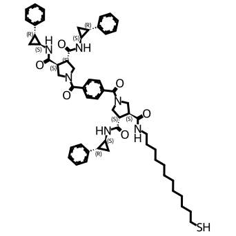 O=C(NCCCCCCCCCCCCS)[C@@H]1CN(C(=O)c2ccc(C(=O)N3C[C@@H](C(=O)N[C@H]4C[C@@H]4c4ccccc4)[C@H](C(=O)N[C@H]4C[C@@H]4c4ccccc4)C3)cc2)C[C@H]1C(=O)N[C@H]1C[C@@H]1c1ccccc1